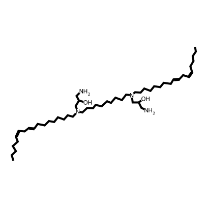 CCCCC/C=C\C/C=C/CCCCCCCCN(CCCCCCCCCCN(CCCCCCCC/C=C/C/C=C\CCCCC)CC(O)CN)CC(O)CN